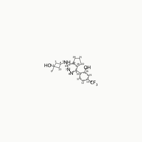 CC1(O)CC(Nc2nnc(-c3ccc(C(F)(F)F)cc3O)c3c2CCC3)C1